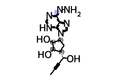 CC#CC(O)[C@H]1C[C@@H](n2cnc3/c(=N\N)nc[nH]c32)[C@H](O)[C@@H]1O